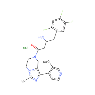 COc1cnccc1-c1nc(C(F)(F)F)n2c1CN(C(=O)CC(N)Cc1cc(F)c(F)cc1F)CC2.Cl